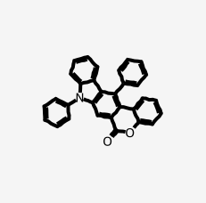 O=c1oc2ccccc2c2c(-c3ccccc3)c3c4ccccc4n(-c4ccccc4)c3cc12